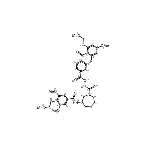 COCOc1cc(OC)cc(F)c1C(=O)c1ccc(C(=O)OOC(=O)N2CCCCC(NC(=O)c3cc(OC)c(OCOC)c(OC)c3)C2)cc1